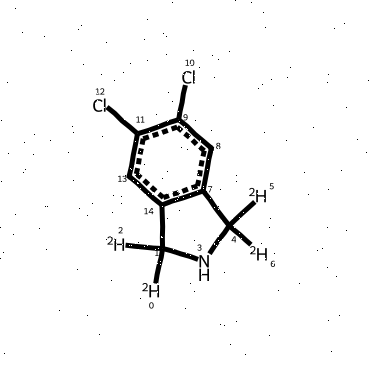 [2H]C1([2H])NC([2H])([2H])c2cc(Cl)c(Cl)cc21